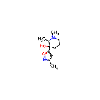 Cc1cc(C2(O)CCCN(C)C2C)on1